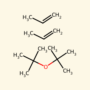 C=CC.C=CC.CC(C)(C)OC(C)(C)C